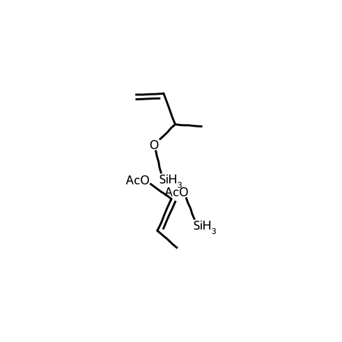 C=CC(C)O[SiH3].CC(=O)O[SiH3].CC=COC(C)=O